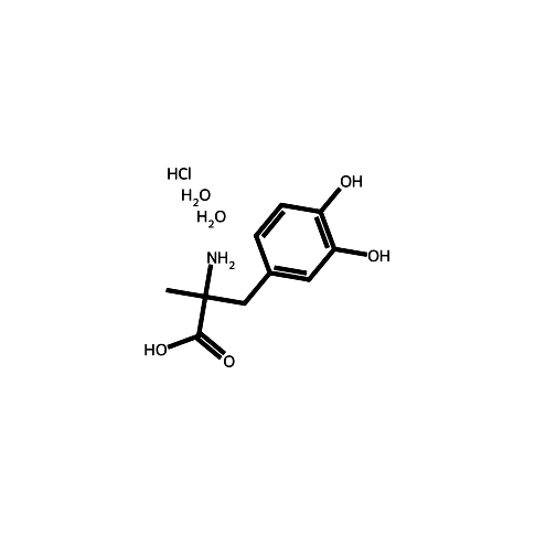 CC(N)(Cc1ccc(O)c(O)c1)C(=O)O.Cl.O.O